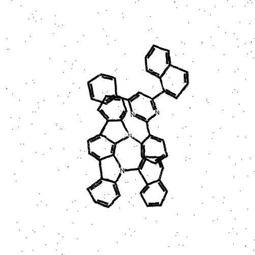 c1ccc(-c2cc(-c3cccc4ccccc34)nc(-c3ccccc3-n3c4ccccc4c4ccc5c6ccccc6n(-c6cccc7ccccc67)c5c43)n2)cc1